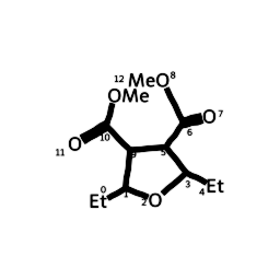 CCC1OC(CC)C(C(=O)OC)C1C(=O)OC